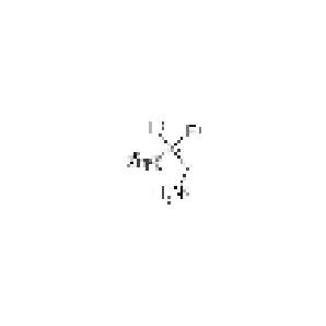 NCC(F)(F)F.[Zn+2]